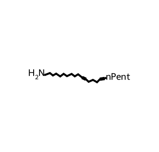 CCCCCC#CCCCC#CCCCCCCCCCCN